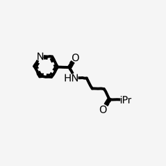 CC(C)C(=O)CCCNC(=O)c1cccnc1